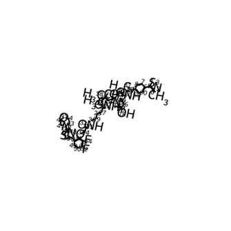 Cc1ncsc1-c1ccc([C@H](C)NC(=O)[C@@H]2C[C@@H](O)CN2C(=O)[C@@H](NC(=O)CCCCNC(=O)COc2c(-c3csc(N4CCOCC4)n3)ccc(F)c2F)C(C)(C)C)cc1